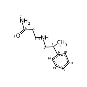 CC(CNCCC(N)=O)c1ccccc1